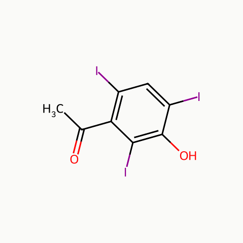 CC(=O)c1c(I)cc(I)c(O)c1I